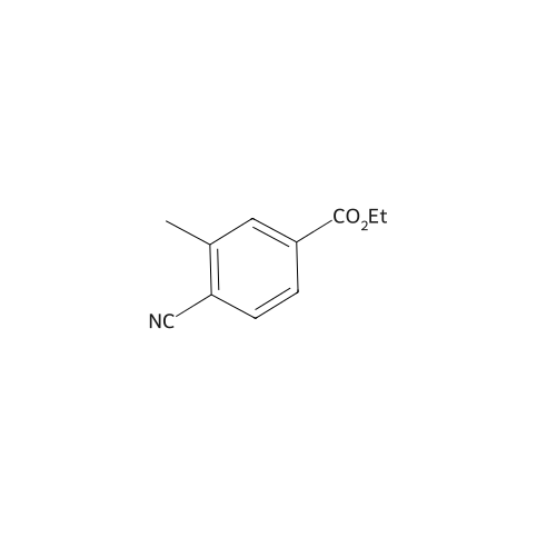 CCOC(=O)c1ccc(C#N)c(C)c1